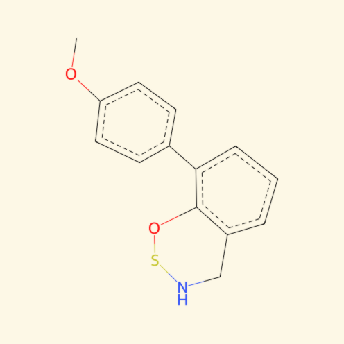 COc1ccc(-c2cccc3c2OSNC3)cc1